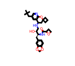 CC(C)(C)Cc1cnc2c(c1)C(NC[C@@H](O)[C@H](Cc1ccc3c(c1)OCO3)NC(=O)C1CCO1)CC1(CCC1)O2